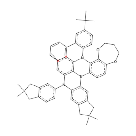 Cc1cc2c3c(c1)N(c1ccc(C(C)(C)C)cc1C1=CCCC=C1)c1c(ccc4c1OCCCO4)B3c1cc3c(cc1N2c1ccc2c(c1)CC(C)(C)C2)CC(C)(C)C3